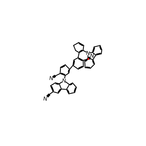 N#Cc1ccc2c(c1)c1ccccc1n2-c1cc(-c2ccc(C#N)c(C3=C(n4c5ccccc5c5ccccc54)C=CCC3)c2)ccc1C#N